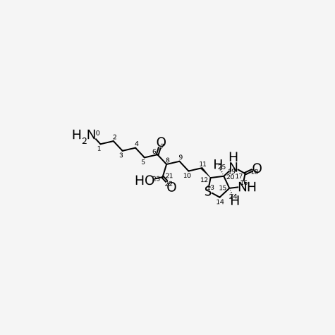 NCCCCCC(=O)C(CCC[C@@H]1SC[C@@H]2NC(=O)N[C@@H]21)C(=O)O